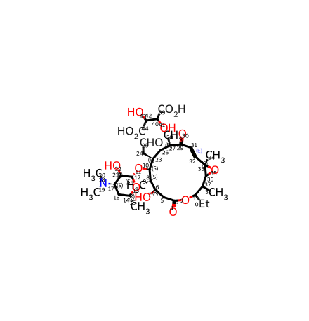 CCC1OC(=O)C[C@@H](O)[C@H](C)[C@@H](O[C@@H]2O[C@H](C)C[C@H](N(C)C)[C@H]2O)[C@@H](CC=O)C[C@@H](C)C(=O)/C=C/[C@]2(C)OC2C1C.O=C(O)C(O)C(O)C(=O)O